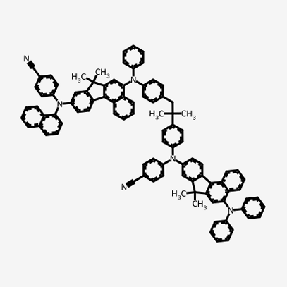 CC(C)(Cc1ccc(N(c2ccccc2)c2cc3c(c4ccccc24)-c2ccc(N(c4ccc(C#N)cc4)c4cccc5ccccc45)cc2C3(C)C)cc1)c1ccc(N(c2ccc(C#N)cc2)c2ccc3c(c2)C(C)(C)c2cc(N(c4ccccc4)c4ccccc4)c4ccccc4c2-3)cc1